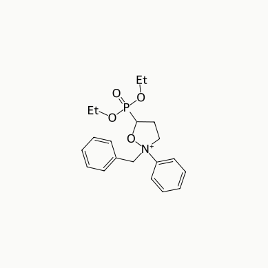 CCOP(=O)(OCC)C1CC[N+](Cc2ccccc2)(c2ccccc2)O1